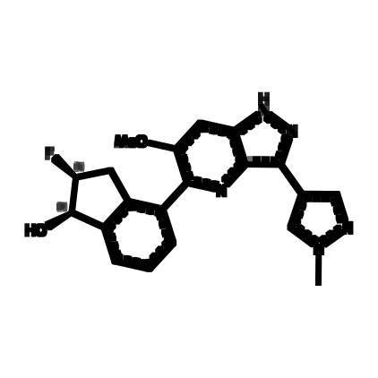 COc1cc2[nH]nc(-c3cnn(C)c3)c2nc1-c1cccc2c1C[C@H](F)[C@@H]2O